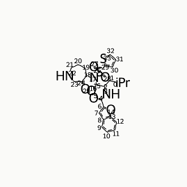 CC(C)CC(NC(=O)c1cc2ccccc2o1)C(=O)N([C@H]1CCCNCC1=O)S(=O)(=O)c1cccs1